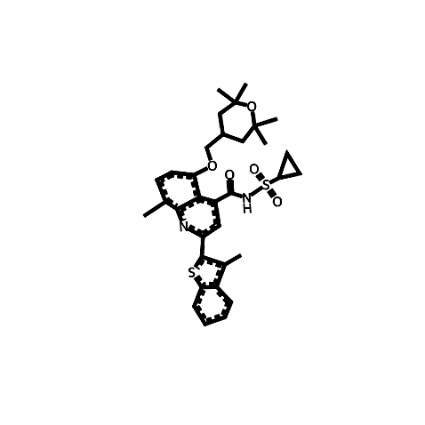 Cc1c(-c2cc(C(=O)NS(=O)(=O)C3CC3)c3c(OCC4CC(C)(C)OC(C)(C)C4)ccc(C)c3n2)sc2ccccc12